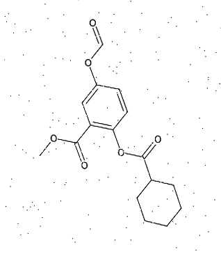 COC(=O)c1cc(OC=O)ccc1OC(=O)C1CCCCC1